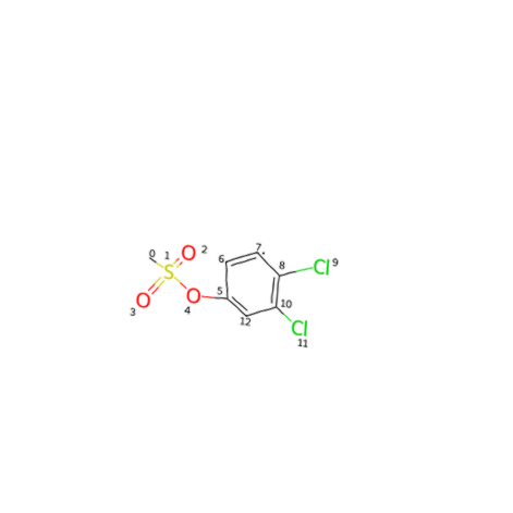 CS(=O)(=O)Oc1c[c]c(Cl)c(Cl)c1